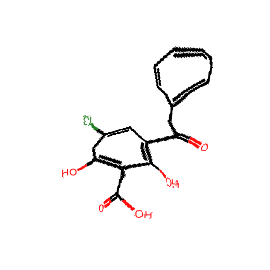 O=C(c1ccccc1)c1cc(Cl)c(O)c(C(=O)O)c1O